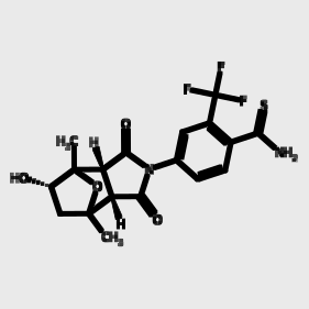 CC12C[C@H](O)C(C)(O1)[C@@H]1C(=O)N(c3ccc(C(N)=S)c(C(F)(F)F)c3)C(=O)[C@@H]12